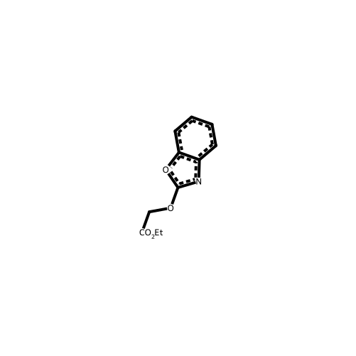 CCOC(=O)COc1nc2ccccc2o1